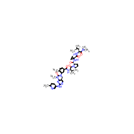 Cc1ccc(Nc2ncc3c(n2)N(C)C(=O)N(c2cc(C(=O)N[C@H](C(=O)N4CCC[C@H]4C(=O)NC4(C(=O)N[C@@H](CC(C)C)C(=O)N(C)C)CC4)C(C)C)ccc2C)C3)cn1